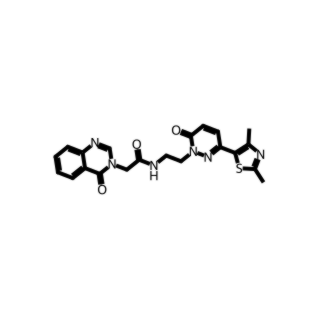 Cc1nc(C)c(-c2ccc(=O)n(CCNC(=O)Cn3cnc4ccccc4c3=O)n2)s1